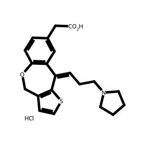 Cl.O=C(O)Cc1ccc2c(c1)/C(=C/CCN1CCCC1)c1sccc1CO2